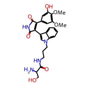 COc1cc(C2=C(c3cn(CCCNC(=O)C(N)CO)c4ccccc34)C(=O)NC2=O)cc(O)c1OC